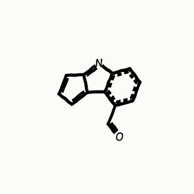 O=Cc1cccc2c1C1=CC=CC1=N2